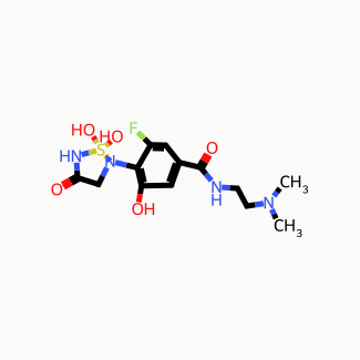 CN(C)CCNC(=O)c1cc(O)c(N2CC(=O)NS2(O)O)c(F)c1